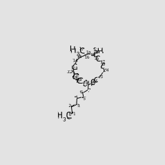 CCCCCCCCC1CCCCCCCC(C)CC(S)CCCCCCC1